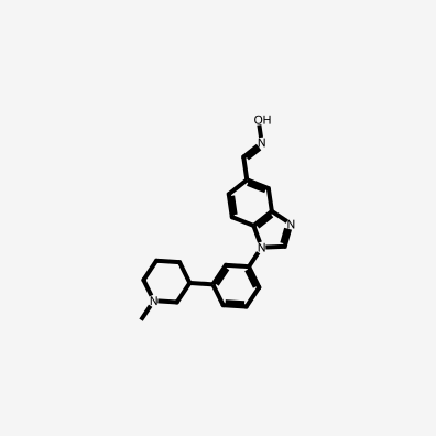 CN1CCCC(c2cccc(-n3cnc4cc(C=NO)ccc43)c2)C1